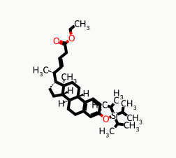 CCOC(=O)CC=C[C@@H](C)[C@H]1CC[C@H]2[C@@H]3CCc4cc(O[Si](C(C)C)(C(C)C)C(C)C)ccc4[C@H]3CC[C@]12C